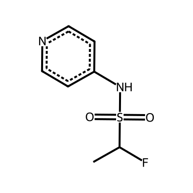 CC(F)S(=O)(=O)Nc1ccncc1